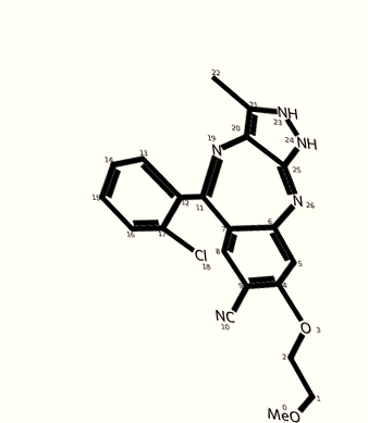 COCCOc1cc2c(cc1C#N)C(c1ccccc1Cl)=NC1=C(C)NNC1=N2